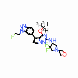 [2H]C([2H])([2H])Oc1nc(N[C@@H]2CN(C3COC3)CC2(F)F)nn2ccc(-c3ccc4nnn(CCF)c4c3)c12